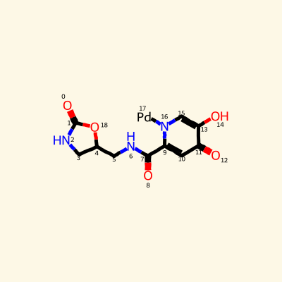 O=C1NCC(CNC(=O)c2cc(=O)c(O)c[n]2[Pd])O1